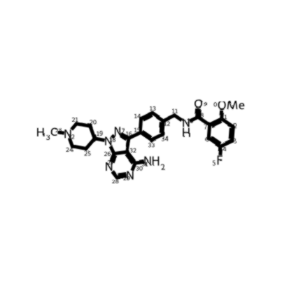 COc1ccc(F)cc1C(=O)NCc1ccc(-c2nn(C3CCN(C)CC3)c3ncnc(N)c23)cc1